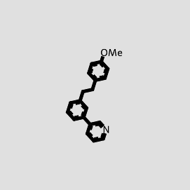 COc1ccc(CCc2cccc(-c3cccnc3)c2)cc1